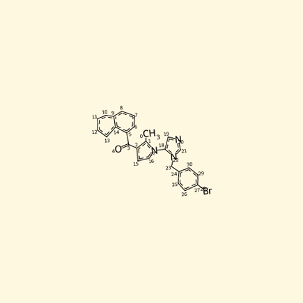 Cc1c(C(=O)c2cccc3ccccc23)ccn1-c1cncn1Cc1ccc(Br)cc1